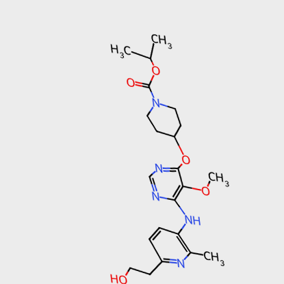 COc1c(Nc2ccc(CCO)nc2C)ncnc1OC1CCN(C(=O)OC(C)C)CC1